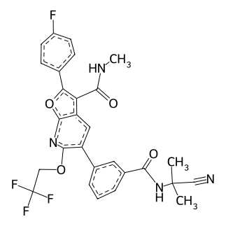 CNC(=O)c1c(-c2ccc(F)cc2)oc2nc(OCC(F)(F)F)c(-c3cccc(C(=O)NC(C)(C)C#N)c3)cc12